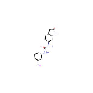 O=C1Cc2ccc(NC(=O)Nc3cccc([N+](=O)[O-])c3)cc2N1